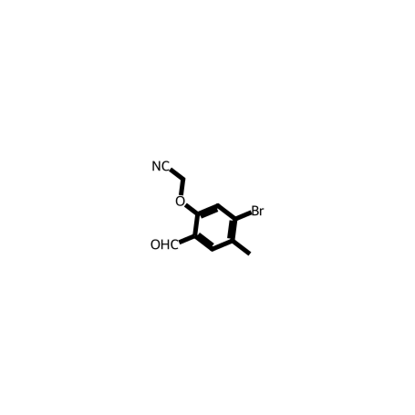 Cc1cc(C=O)c(OCC#N)cc1Br